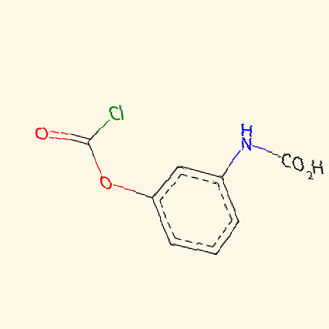 O=C(O)Nc1cccc(OC(=O)Cl)c1